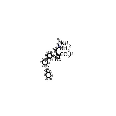 CN(N)/C=C(\N)C1CC1c1c(C(=O)O)cnn1-c1cccc(N2CCCC(OCC3CCCCC3)C2)c1